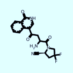 N#C[C@@H]1CC(F)(F)CN1C(=O)C(N)CC(=O)c1c[nH]c(=O)c2ccccc12